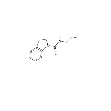 CCCNC(=O)N1CCc2ccccc21